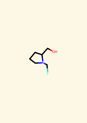 OCC1CCCN1[CH]F